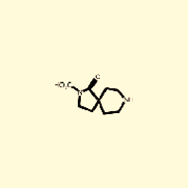 O=C(O)N1CCC2(CCNCC2)C1=O